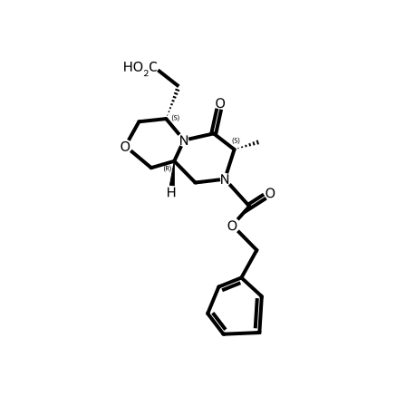 C[C@H]1C(=O)N2[C@@H](CC(=O)O)COC[C@H]2CN1C(=O)OCc1ccccc1